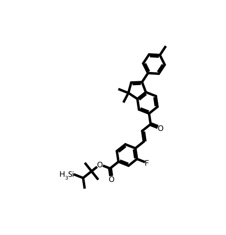 Cc1ccc(C2=CC(C)(C)c3cc(C(=O)C=Cc4ccc(C(=O)OC(C)(C)C(C)[SiH3])cc4F)ccc32)cc1